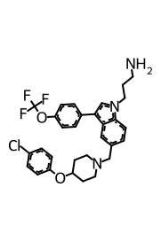 NCCCn1cc(-c2ccc(OC(F)(F)F)cc2)c2cc(CN3CCC(Oc4ccc(Cl)cc4)CC3)ccc21